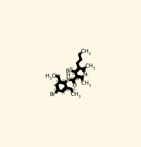 CCCCc1c(C)nc(C)c(C(=O)Nc2c(CC)cc(Br)cc2CC)c1Br